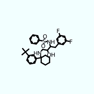 CC(C)(C)c1cccc(C2(NCC(O)C(Cc3cc(F)cc(F)c3)NS(=O)(=O)c3ccccc3)CCCCC2)c1